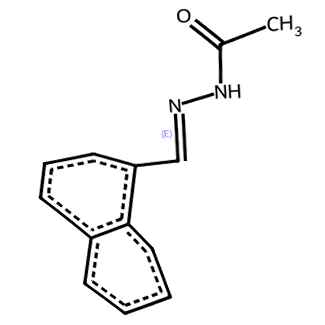 CC(=O)N/N=C/c1cccc2ccccc12